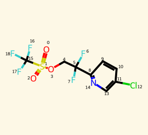 O=S(=O)(OCC(F)(F)c1ccc(Cl)cn1)C(F)(F)F